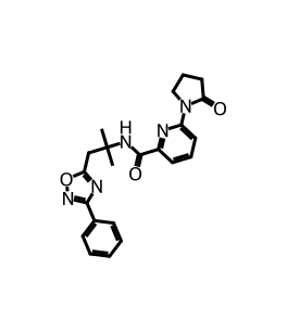 CC(C)(Cc1nc(-c2ccccc2)no1)NC(=O)c1cccc(N2CCCC2=O)n1